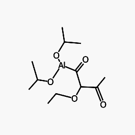 CCOC(C(C)=O)[C](=O)[Al]([O]C(C)C)[O]C(C)C